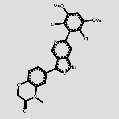 COc1cc(OC)c(Cl)c(-c2cc3[nH]nc(-c4ccc5c(c4)N(C)C(=O)CO5)c3cn2)c1Cl